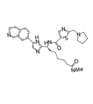 CNC(=O)CCCCC[C@H](NC(=O)c1cnc(CN2CCCC2)s1)c1ncc(-c2ccc3ccncc3c2)[nH]1